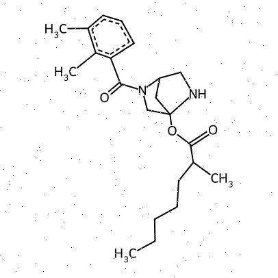 CCCCCC(C)C(=O)OC12CC(CN1)N(C(=O)c1cccc(C)c1C)C2